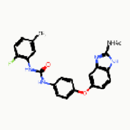 CC(=O)Nc1nc2cc(Oc3ccc(NC(=O)Nc4cc(C(F)(F)F)ccc4F)cc3)ccc2[nH]1